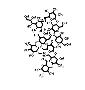 CC1C(O)[C@H](O)[C@H](CO)O[C@H]1O[C@@H]1C(O)[C@H](O)C(CO)O[C@@H]1OCC1O[C@@H](O[C@@H]2C(CO)O[C@@H](O[C@@H]3C(CO)O[C@@H](C)[C@@H](C)C3O)C(C)[C@H]2O)[C@H](O)C(O[C@H]2O[C@H](CO)[C@@H](O)C(O)C2O[C@@H]2OC(CO)[C@@H](O[C@@H]3OC(CO[C@]4(C(=O)O)C[C@@H](O)[C@@H](N)C([C@H](O)[C@H](O)CO)O4)[C@H](O)C(O)[C@@H]3O)[C@H](O)C2C)[C@@H]1O